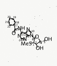 CSC1C(O)[C@@H](CO)O[C@H]1n1cnc2c(NC(=O)c3ccccc3)ncnc21